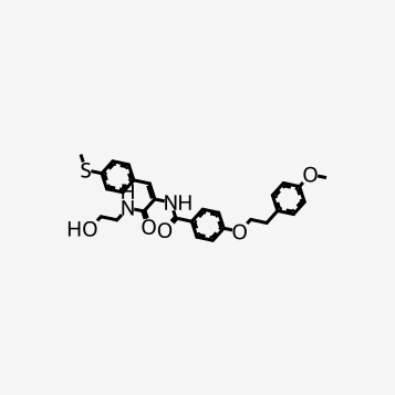 COc1ccc(CCOc2ccc(C(=O)NC(=Cc3ccc(SC)cc3)C(=O)NCCO)cc2)cc1